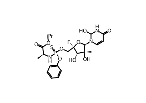 CC(C)OC(=O)[C@H](C)NP(=S)(OC[C@@]1(F)O[C@@H](N2C=CC(=O)NC2O)[C@](C)(O)[C@@H]1O)Oc1ccccc1